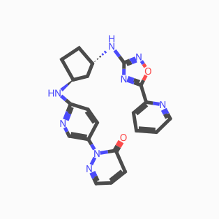 O=c1cccnn1-c1ccc(N[C@H]2CC[C@H](Nc3noc(-c4ccccn4)n3)C2)nc1